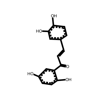 O=C(/C=C/c1ccc(O)c(O)c1)c1cc(O)ccc1O